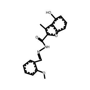 COc1ccccc1C=NNC(=O)c1oc2cccc(O)c2c1C